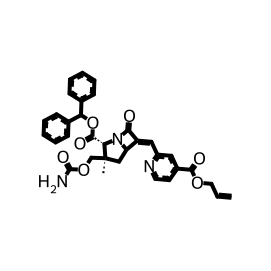 C=CCOC(=O)c1ccnc(/C=C2/C(=O)N3C2C[C@@](C)(COC(N)=O)[C@@H]3C(=O)OC(c2ccccc2)c2ccccc2)c1